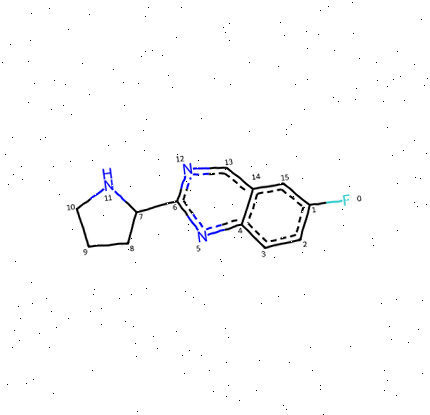 Fc1ccc2nc(C3CCCN3)ncc2c1